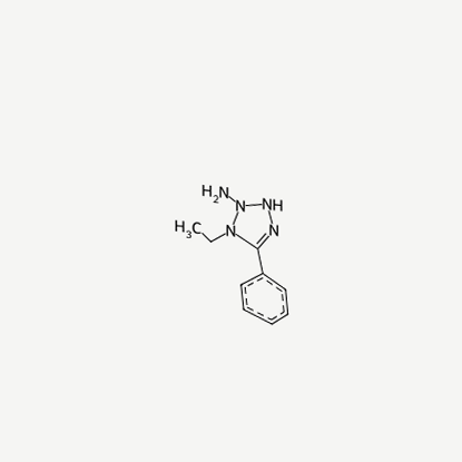 CCN1C(c2ccccc2)=NNN1N